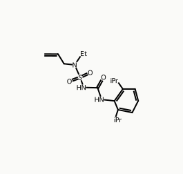 C=CCN(CC)S(=O)(=O)NC(=O)Nc1c(C(C)C)cccc1C(C)C